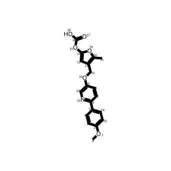 COc1ccc(-c2ccc(OCc3cc(OC(=O)O)oc3C)cn2)cc1